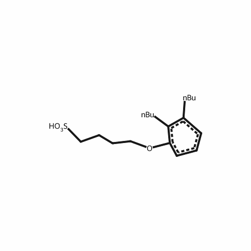 CCCCc1cccc(OCCCCS(=O)(=O)O)c1CCCC